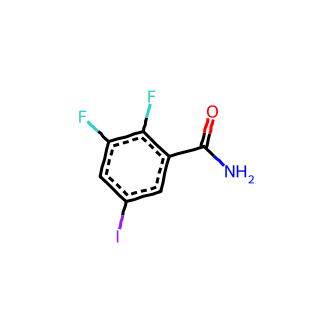 NC(=O)c1cc(I)cc(F)c1F